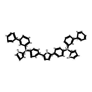 c1ccc(-c2cccc(N(c3ccc(-c4ccc(-c5ccc(N(c6cccc(-c7ccccc7)c6)c6cccs6)cc5)s4)cc3)c3cccs3)c2)cc1